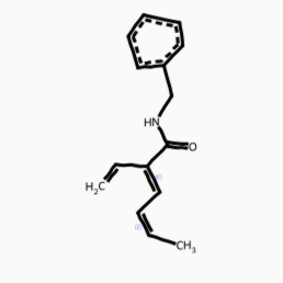 C=C/C(=C\C=C/C)C(=O)NCc1ccccc1